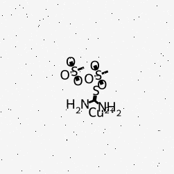 CS(=O)(=O)[O-].CS(=O)(=O)[O-].NC(N)=S.[Cu+2]